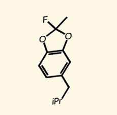 CC(C)Cc1ccc2c(c1)OC(C)(F)O2